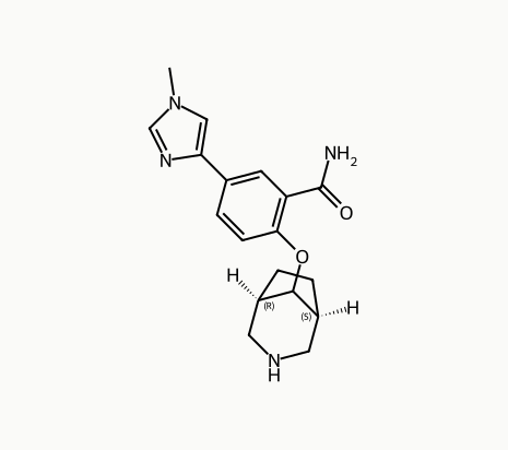 Cn1cnc(-c2ccc(OC3[C@@H]4CC[C@H]3CNC4)c(C(N)=O)c2)c1